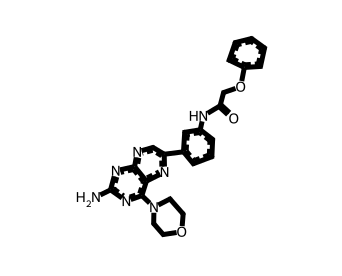 Nc1nc(N2CCOCC2)c2nc(-c3cccc(NC(=O)COc4ccccc4)c3)cnc2n1